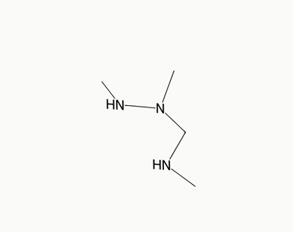 CNCN(C)NC